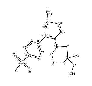 CC1(CO)CCCN(c2ncc(C(F)(F)F)cc2-c2ccc(S(C)(=O)=O)cc2)C1